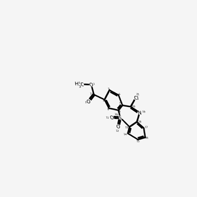 COC(=O)c1ccc2c(c1)S(=O)(=O)c1ccccc1N=C2Cl